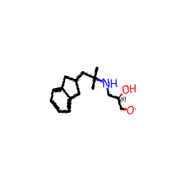 CC(C)(CC1Cc2ccccc2C1)NC[C@@H](O)C[O]